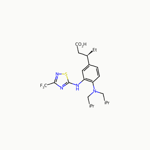 CC[C@H](CC(=O)O)c1ccc(N(CC(C)C)CC(C)C)c(Nc2nc(C(F)(F)F)ns2)c1